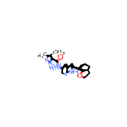 Cc1n[nH]c(C(=O)Nc2cnc3[nH]c(-c4cccc5c4OCC5)cc3c2)c1C